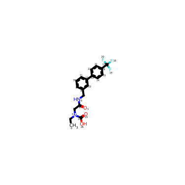 CCN(CC(=O)NCc1cccc(-c2ccc(C(F)(F)F)cc2)c1)C(=O)O